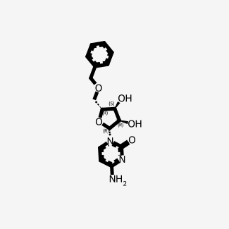 Nc1ccn([C@@H]2O[C@H](COCc3ccccc3)[C@@H](O)[C@H]2O)c(=O)n1